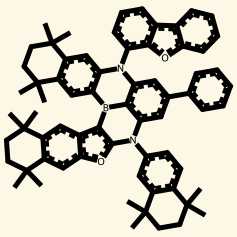 CC1(C)CCC(C)(C)c2cc(N3c4cc(-c5ccccc5)cc5c4B(c4cc6c(cc4N5c4cccc5c4oc4ccccc45)C(C)(C)CCC6(C)C)c4c3oc3cc5c(cc43)C(C)(C)CCC5(C)C)ccc21